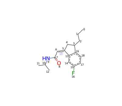 CCCC1C/C(=C/C(=O)NC(C)C)c2cc(F)ccc21